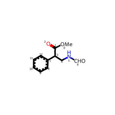 COC(=O)C(CNC=O)c1ccccc1